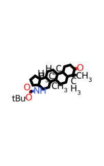 CC(C)(C)OC(=O)NC12CCC[C@@H]1C1CCC3C4(C)CCC(=O)C(C)(C)C4CCC3(C)[C@]1(C)CC2